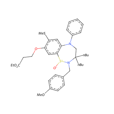 CCCCC1(CCCC)CN(c2ccccc2)c2cc(SC)c(OCCC(=O)OCC)cc2[S+]([O-])N1Cc1ccc(OC)cc1